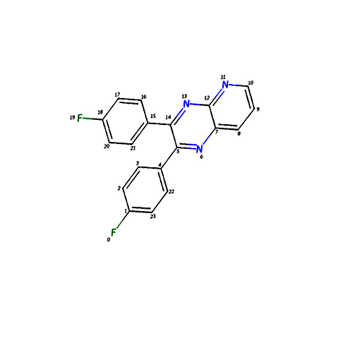 Fc1ccc(-c2nc3cccnc3nc2-c2ccc(F)cc2)cc1